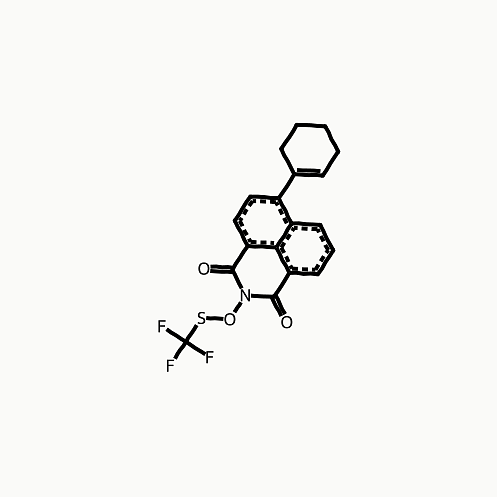 O=C1c2cccc3c(C4=CCCCC4)ccc(c23)C(=O)N1OSC(F)(F)F